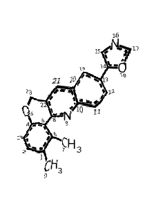 Cc1ccc2c(c1C)-c1nc3ccc(-c4cnco4)cc3cc1CO2